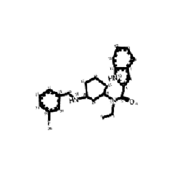 CCN(C(=O)c1cc2ccccc2[nH]1)C1CCCC(NCc2cccc(F)c2)C1